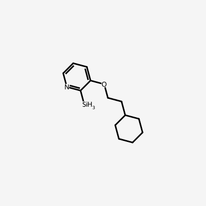 [SiH3]c1ncccc1OCCC1CCCCC1